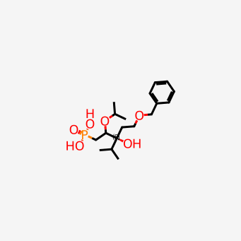 CC(C)OC(CP(=O)(O)O)[C@](O)(CCOCc1ccccc1)C(C)C